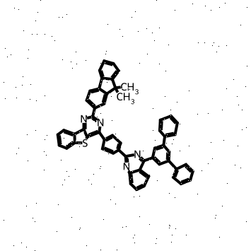 CC1(C)c2ccccc2-c2ccc(-c3nc(-c4ccc(-c5nc(-c6cc(-c7ccccc7)cc(-c7ccccc7)c6)c6ccccc6n5)cc4)c4sc5ccccc5c4n3)cc21